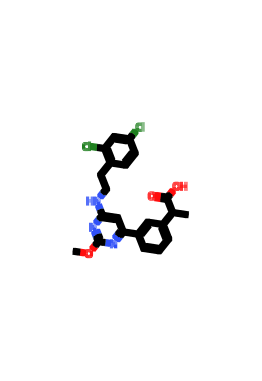 COc1nc(NCCc2ccc(Cl)cc2Cl)cc(-c2cccc(C(C)C(=O)O)c2)n1